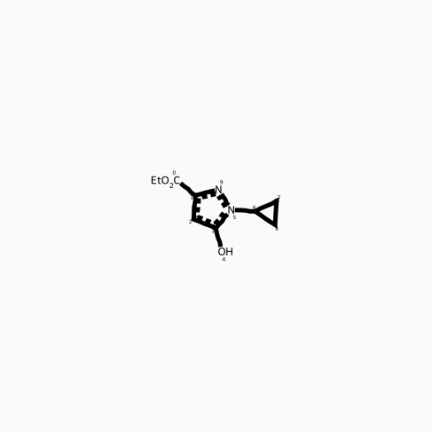 CCOC(=O)c1cc(O)n(C2CC2)n1